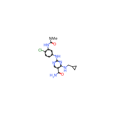 CNC(=O)Nc1cc(Nc2ncc(C(N)=O)c(NCC3CC3)n2)ccc1Cl